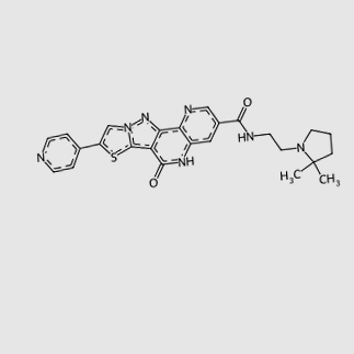 CC1(C)CCCN1CCNC(=O)c1cnc2c(c1)[nH]c(=O)c1c2nn2cc(-c3ccncc3)sc12